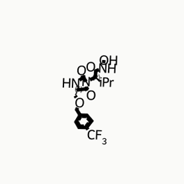 CC(C)[C@H](C(=O)NO)N1C(=O)N[C@@H](COCc2ccc(C(F)(F)F)cc2)C1=O